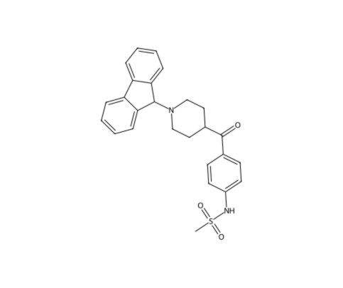 CS(=O)(=O)Nc1ccc(C(=O)C2CCN(C3c4ccccc4-c4ccccc43)CC2)cc1